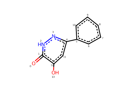 O=c1[nH]nc(-c2ccccc2)cc1O